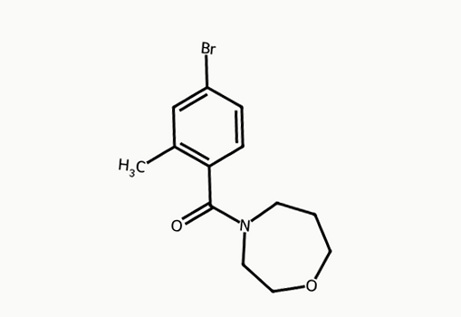 Cc1cc(Br)ccc1C(=O)N1CCCOCC1